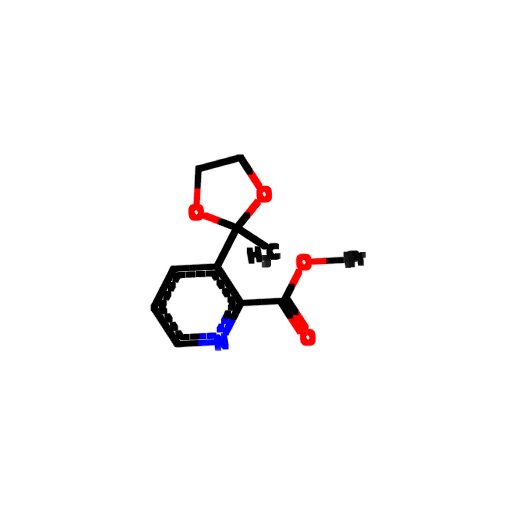 CC(C)OC(=O)c1ncccc1C1(C)OCCO1